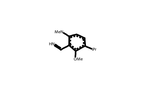 CNc1ccc(C(C)C)c(OC)c1C=N